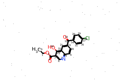 CCOC(=O)c1cnc2ccc(C(=O)c3ccc(Cl)cc3)cc2c1O